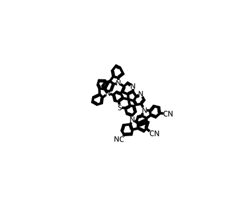 N#Cc1ccc2c(c1)c1ccccc1n2-c1cnc2c(c1)C1(c3ccc(-n4c5ccccc5c5ccccc54)cc3Sc3cc(-n4c5ccc(C#N)cc5c5cc(C#N)ccc54)ccc31)c1cc(-n3c4ccccc4c4ccccc43)cnc1-2